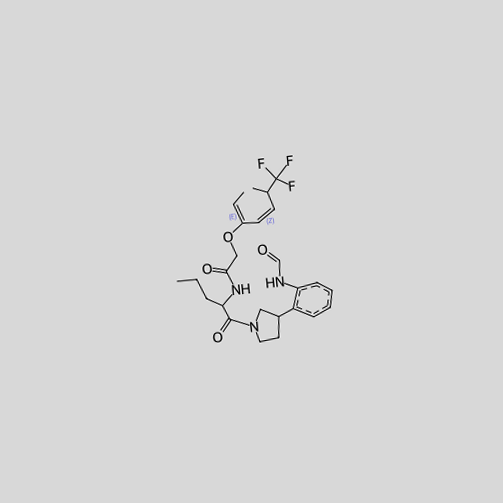 C/C=C(\C=C/C(C)C(F)(F)F)OCC(=O)NC(CCC)C(=O)N1CCC(c2ccccc2NC=O)C1